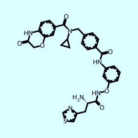 N[C@@H](Cc1cscn1)C(=O)NOc1cccc(NC(=O)c2ccc(CN(C(=O)c3ccc4c(c3)OCC(=O)N4)C3CC3)cc2)c1